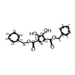 O=C(OCc1ccccc1)c1sc(C(=O)OCc2ccccc2)c(O)c1O